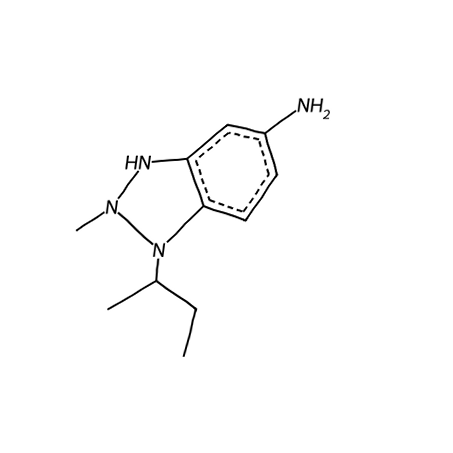 CCC(C)N1c2ccc(N)cc2NN1C